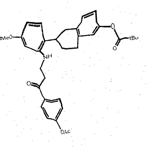 COc1ccc(C2CCc3cc(OC(=O)C(C)(C)C)ccc3C2)c(NCCC(=O)c2ccc(OC(C)=O)cc2)c1